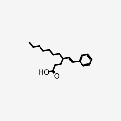 CCCCCCCC(C=Cc1ccccc1)CCC(=O)O